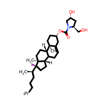 CC(C)CCC[C@@H](C)[C@@]1(I)CC[C@H]2C3CC=C4C[C@@H](OC(=O)N5C[C@H](O)C[C@H]5CO)CC[C@]4(C)[C@H]3CC[C@@]21C